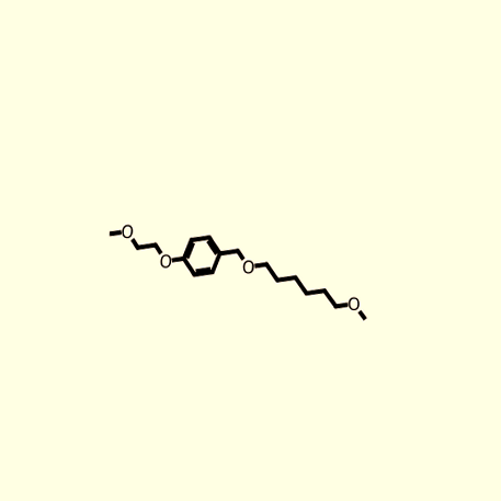 COCCCCCCOCc1ccc(OCCOC)cc1